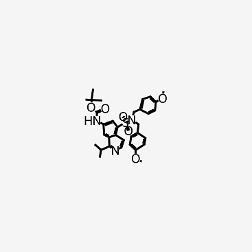 COc1ccc(CN(Cc2ccc(OC)cc2)S(=O)(=O)c2cc(NC(=O)OC(C)(C)C)cc3c(C(C)C)nccc23)cc1